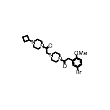 COc1ccc(Br)cc1CC(=O)N1CCN(CC(=O)N2CCN(C3CCC3)CC2)CC1